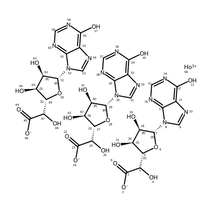 O=C([O-])C(O)[C@H]1O[C@@H](n2cnc3c(O)ncnc32)[C@H](O)[C@@H]1O.O=C([O-])C(O)[C@H]1O[C@@H](n2cnc3c(O)ncnc32)[C@H](O)[C@@H]1O.O=C([O-])C(O)[C@H]1O[C@@H](n2cnc3c(O)ncnc32)[C@H](O)[C@@H]1O.[Ho+3]